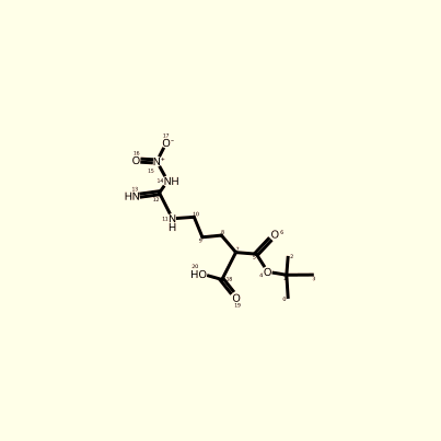 CC(C)(C)OC(=O)C(CCCNC(=N)N[N+](=O)[O-])C(=O)O